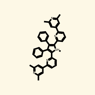 Cc1cc(-c2cccc(C3=C(c4ccccc4)C(c4ccccc4)=C(c4cccc(-c5cc(C)nc(C)c5)n4)[SiH]3C)n2)cc(C)n1